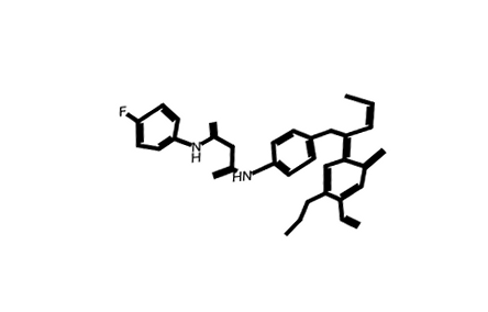 C=Cc1cc(=C)/c(=C(\C=C/C)Cc2ccc(NC(=C)CC(=C)Nc3ccc(F)cc3)cc2)cc1CCC